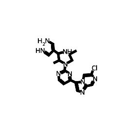 CC1CN(c2nccc(-c3cnc4cnc(Cl)cn34)n2)C(C)C(/C(C=N)=C/N)N1